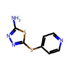 Nc1nnc(Sc2ccncc2)s1